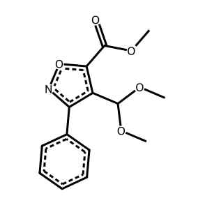 COC(=O)c1onc(-c2ccccc2)c1C(OC)OC